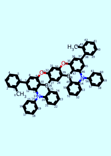 Cc1ccccc1-c1cc2c3c(c1)N(c1ccccc1)c1ccccc1B3c1cc3c(cc1O2)Oc1cc(-c2ccccc2C)cc2c1B3c1ccccc1N2c1ccccc1